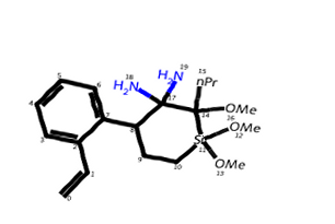 C=Cc1ccccc1C1CC[Si](OC)(OC)C(CCC)(OC)C1(N)N